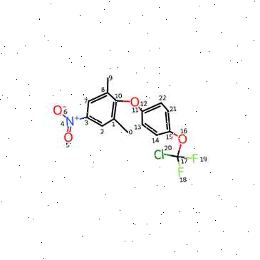 Cc1cc([N+](=O)[O-])cc(C)c1Oc1ccc(OC(F)(F)Cl)cc1